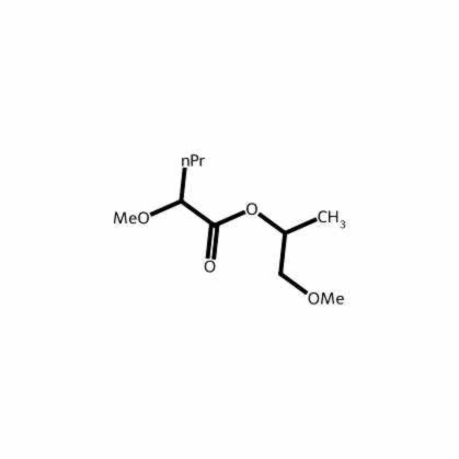 CCCC(OC)C(=O)OC(C)COC